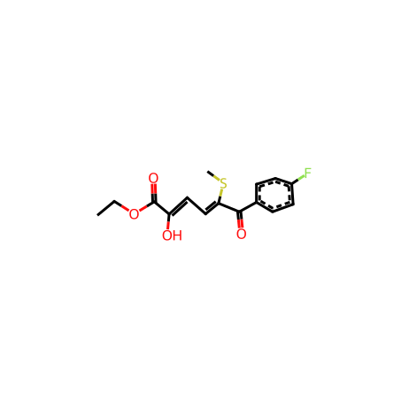 CCOC(=O)/C(O)=C/C=C(\SC)C(=O)c1ccc(F)cc1